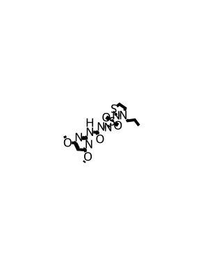 CCCN1CCSN1S(=O)(=O)N=NC(=O)Nc1nc(OC)cc(OC)n1